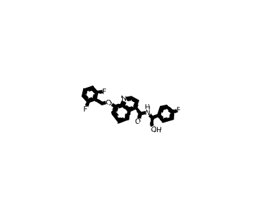 O=C(NC(CO)c1ccc(F)cc1)c1ccnc2c(OCc3c(F)cccc3F)cccc12